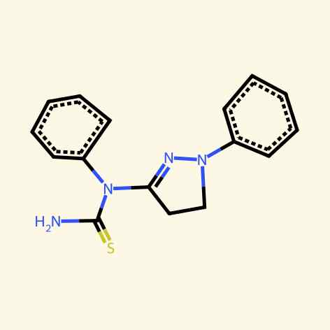 NC(=S)N(C1=NN(c2ccccc2)CC1)c1ccccc1